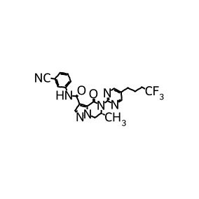 C[C@H]1Cn2ncc(C(=O)Nc3cccc(C#N)c3)c2C(=O)N1c1ncc(CCCC(F)(F)F)cn1